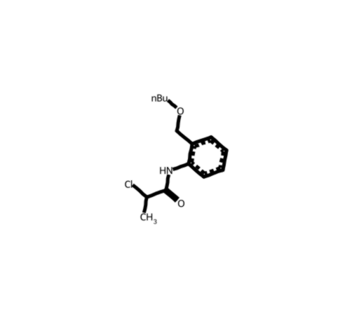 CCCCOCc1ccccc1NC(=O)C(C)Cl